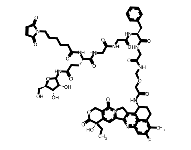 CC[C@@]1(O)C(=O)OCc2c1cc1n(c2=O)Cc2c-1nc1cc(F)c(C)c3c1c2[C@@H](NC(=O)COCNC(=O)CNC(=O)[C@H](Cc1ccccc1)NC(=O)CNC(=O)CNC(=O)[C@H](CCC(=O)NC1O[C@H](CO)[C@@H](O)[C@H]1O)NC(=O)CCCCCN1C(=O)C=CC1=O)CC3